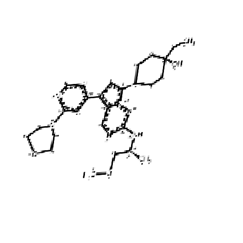 CC[C@]1(O)CC[C@@H](c2cc(-c3ccnc(N4CCOCC4)c3)c3cnc(N[C@@H](C)COC)nn32)CC1